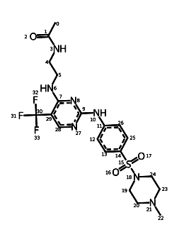 CC(=O)NCCNc1nc(Nc2ccc(S(=O)(=O)N3CCN(C)CC3)cc2)ncc1C(F)(F)F